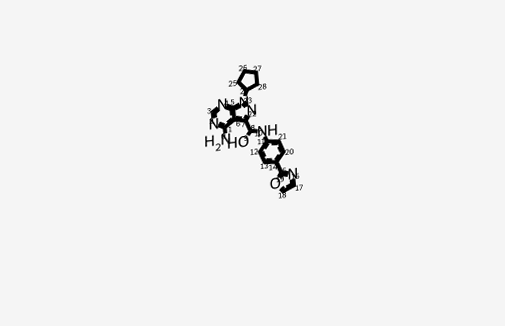 Nc1ncnc2c1c(C(O)Nc1ccc(-c3ncco3)cc1)nn2C1CCCC1